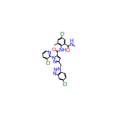 CNC(=O)c1cc(Cl)cc(C)c1NC(=O)c1cc(Cn2nnc3cc(Cl)ccc32)nn1-c1ncccc1Cl